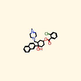 CN1CCN(CC2CC(OC(=O)c3ccccc3Cl)CCC2(O)c2ccc3ccccc3c2)CC1